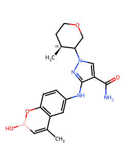 CC1=CB(O)Oc2ccc(Nc3nn(C4COCC[C@@H]4C)cc3C(N)=O)cc21